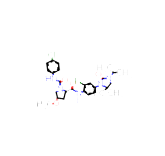 CO[C@@H]1C[C@H](C(=O)Nc2ccc(N3C(=O)N(C(C)C)CC3(C)C)cc2F)N(C(=O)Nc2ccc(Cl)cc2)C1